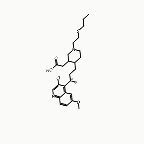 CCCSCCN1CCC(CC[C@@H](F)c2c(Cl)cnc3ccc(OC)cc23)C(CC(=O)O)C1